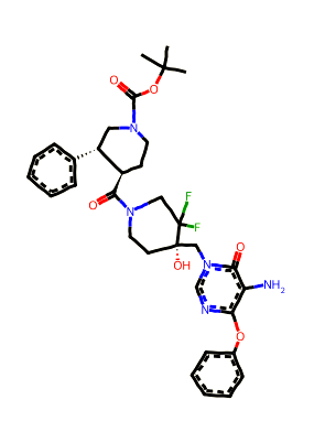 CC(C)(C)OC(=O)N1CC[C@@H](C(=O)N2CC[C@](O)(Cn3cnc(Oc4ccccc4)c(N)c3=O)C(F)(F)C2)[C@H](c2ccccc2)C1